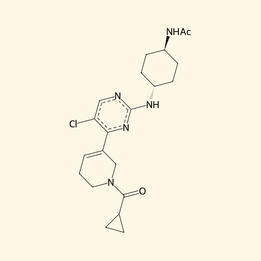 CC(=O)N[C@H]1CC[C@H](Nc2ncc(Cl)c(C3=CCCN(C(=O)C4CC4)C3)n2)CC1